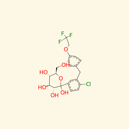 OC[C@H]1OC(O)(c2ccc(Cl)c(Cc3ccc(OCC(F)(F)F)cc3)c2)[C@H](O)[C@@H](O)[C@@H]1O